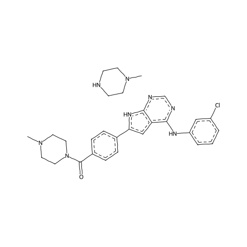 CN1CCN(C(=O)c2ccc(-c3cc4c(Nc5cccc(Cl)c5)ncnc4[nH]3)cc2)CC1.CN1CCNCC1